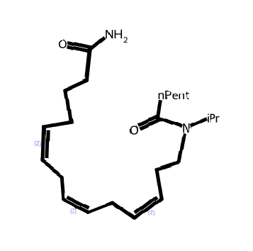 CCCCCC(=O)N(CC/C=C\C/C=C\C/C=C\CCCC(N)=O)C(C)C